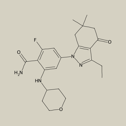 CCc1nn(-c2cc(F)c(C(N)=O)c(NC3CCOCC3)c2)c2c1C(=O)CC(C)(C)C2